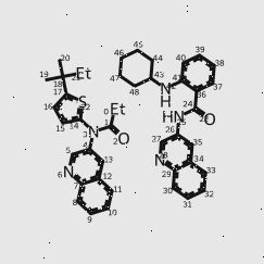 CCC(=O)N(c1cnc2ccccc2c1)c1ccc(C(C)(C)CC)s1.O=C(Nc1cnc2ccccc2c1)c1ccccc1NC1CCCCC1